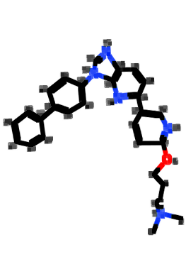 CN(C)CCCOc1ccc(-c2ccc3ncn(-c4ccc(-c5ccccc5)cc4)c3n2)cn1